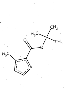 Cc1ccsc1C(=O)OC(C)(C)C